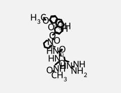 COc1ccc2c3c1OC1C(OC(=O)N4CCCC[C@@H]4CNC(=O)[C@H](CCCNC(=N)N)NC(=O)CNC(C)=O)=CC[C@H]4[C@H](CCC[C@]314)C2